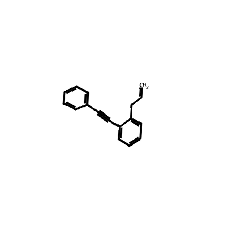 C=CCc1ccccc1C#Cc1ccccc1